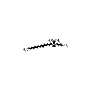 CCCCCCCCCCCCCCCCn1cc[n+](CCCCC)c1C(C)C